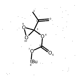 C=C(C)C1(OC(=O)OC(C)(C)C)OO1